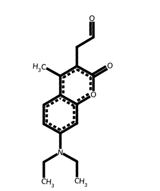 CCN(CC)c1ccc2c(C)c(CC=O)c(=O)oc2c1